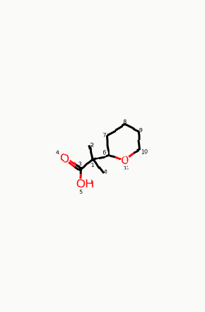 CC(C)(C(=O)O)C1CCCCO1